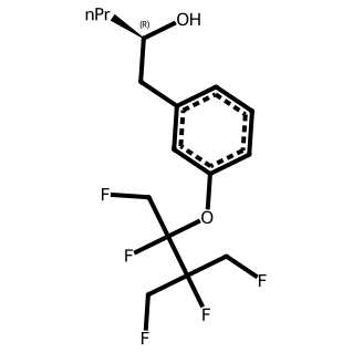 CCC[C@@H](O)Cc1cccc(OC(F)(CF)C(F)(CF)CF)c1